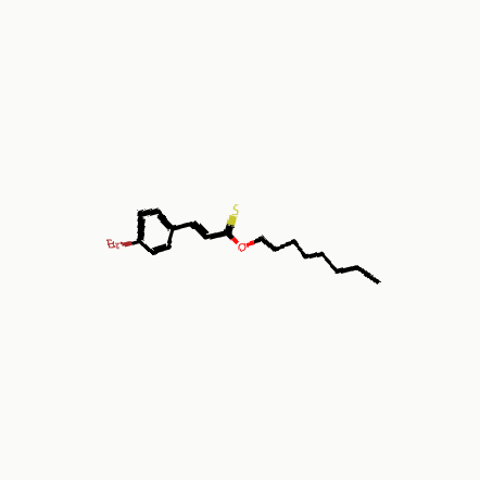 CCCCCCCCOC(=S)/C=C/c1ccc(Br)cc1